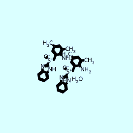 Cc1cc(C)c(N)c(C[S+]([O-])c2nc3ccccc3[nH]2)c1.Cc1cc(C)c(N)c(C[S+]([O-])c2nc3ccccc3[nH]2)c1.O